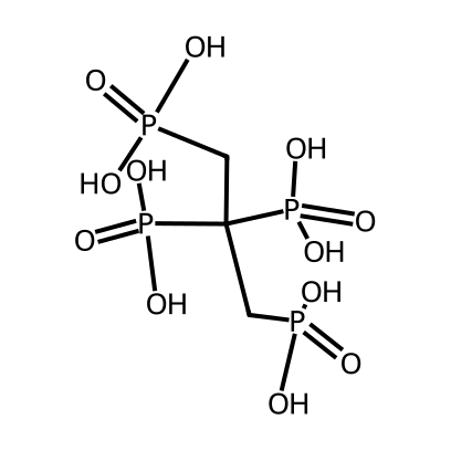 O=P(O)(O)CC(CP(=O)(O)O)(P(=O)(O)O)P(=O)(O)O